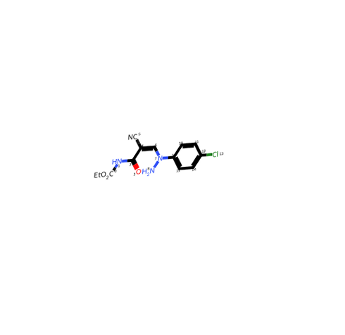 CCOC(=O)NC(=O)/C(C#N)=C\N(N)c1ccc(Cl)cc1